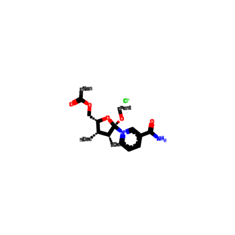 CCCCCCCCCC[C@@H]1[C@H](COC(=O)CCCCCCCCC)O[C@@](OCCCCC)([n+]2cccc(C(N)=O)c2)[C@@H]1CCCCCCCCCC.[Cl-]